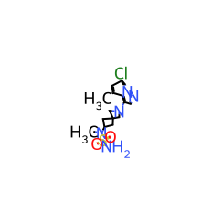 Cc1cc(Cl)cn2ncc(N3CC4(CC(N(C)S(N)(=O)=O)C4)C3)c12